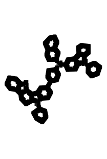 c1ccc(-n2c3ccccc3c3cc(N(c4ccc(-c5ccc6c(c5)c5c7sc8ccccc8c7ccc5n6-c5ccccc5)cc4)c4ccc5ccccc5c4)ccc32)cc1